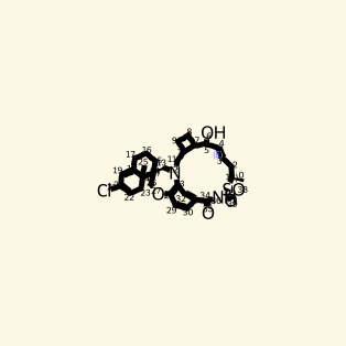 C[C@@H]1C/C=C/C(O)C2CCC2CN2C[C@@]3(CCCC4=CC(Cl)=CCC43C)COc3ccc(cc32)C(=O)NS1(=O)=O